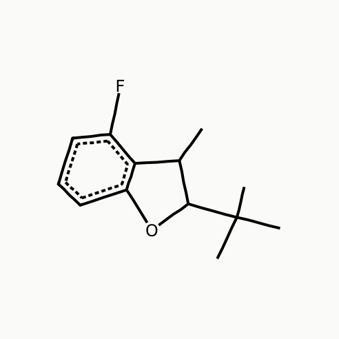 CC1c2c(F)cccc2OC1C(C)(C)C